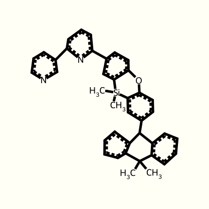 CC1(C)c2ccccc2C(c2ccc3c(c2)[Si](C)(C)c2cc(-c4cccc(-c5cccnc5)n4)ccc2O3)c2ccccc21